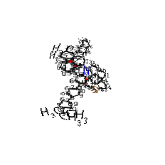 CC(C)(C)c1ccc(-c2ccc(-c3ccc(N(c4ccc5c(c4)-c4cc6ccccc6cc4C5(C)C)c4ccc5ccccc5c4-c4cccc5sc6ccccc6c45)c(-c4ccccc4)c3)cc2)cc1